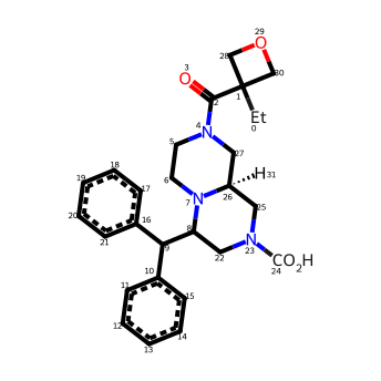 CCC1(C(=O)N2CCN3C(C(c4ccccc4)c4ccccc4)CN(C(=O)O)C[C@@H]3C2)COC1